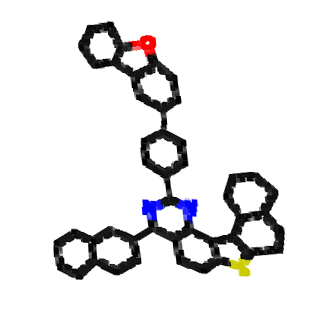 c1ccc2cc(-c3nc(-c4ccc(-c5ccc6oc7ccccc7c6c5)cc4)nc4c3ccc3sc5ccc6ccccc6c5c34)ccc2c1